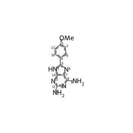 COc1ccc(-c2nc3c(N)nc(N)nc3[nH]2)cc1